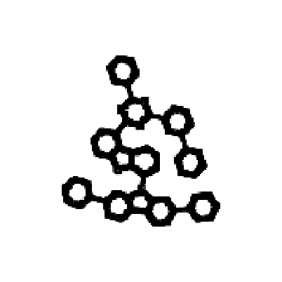 c1ccc(-c2cccc(-c3nc(-c4ccccc4)nc(-c4cccc5oc6c(-n7c8cc(-c9ccccc9)ccc8c8ccc(-c9ccccc9)cc87)cccc6c45)n3)c2)cc1